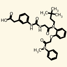 CN(C(=O)COc1ccccc1N(CCC(C)(C)C)C(=O)CNC(=O)Nc1cccc(CC(=O)O)c1)c1ccccc1